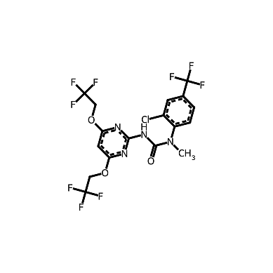 CN(C(=O)Nc1nc(OCC(F)(F)F)cc(OCC(F)(F)F)n1)c1ccc(C(F)(F)F)cc1Cl